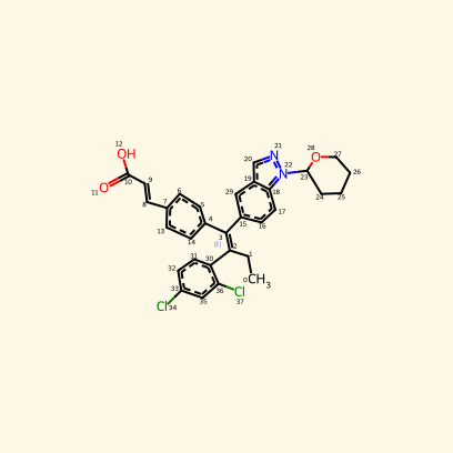 CC/C(=C(/c1ccc(C=CC(=O)O)cc1)c1ccc2c(cnn2C2CCCCO2)c1)c1ccc(Cl)cc1Cl